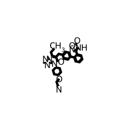 CCCc1c(Cc2ccc(-c3ccccc3-c3noc(=O)[nH]3)cc2)c(=O)n(C2CCC(OCC#N)CC2)c2ncnn12